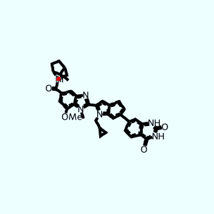 COc1cc(C(=O)N2CC3CCC2[C@@H]3C)cc2nc(-c3cc4ccc(-c5ccc6c(=O)[nH]c(=O)[nH]c6c5)cc4n3CC3CC3)n(C)c12